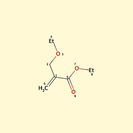 C=C(COCC)C(=O)OCC